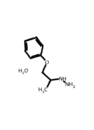 CC(COc1ccccc1)NN.O